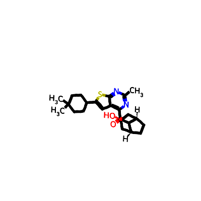 Cc1nc(C(=O)C2[C@@H]3CC[C@H]2C[C@@H](O)C3)c2cc(C3CCC(C)(C)CC3)sc2n1